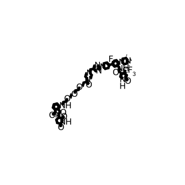 C[C@@H]1CN(c2cc(F)c(C3=CCN(c4ncc(CN5CCN(C(=O)CCOCCOCCOCCNc6cccc7c6C(=O)N(C6CCC(=O)NC6=O)C7=O)CC5)cn4)CC3)cc2NC(=O)c2c[nH]c(=O)cc2C(F)(F)F)C[C@H](C)N1C